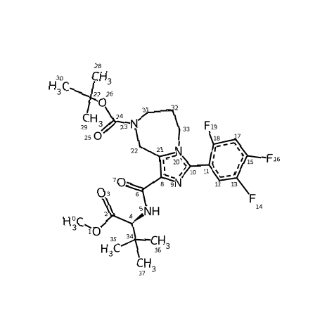 COC(=O)[C@@H](NC(=O)c1nc(-c2cc(F)c(F)cc2F)n2c1CN(C(=O)OC(C)(C)C)CCC2)C(C)(C)C